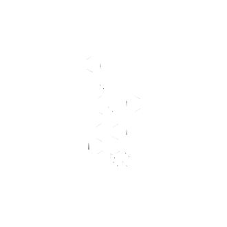 Cn1nnc(-c2ccc(CN(C(=O)/C=C/c3ccc(C(F)(F)F)cc3)[C@@H](Cc3ccccc3)C(=O)N3CCc4ccccc4C3)cc2)n1